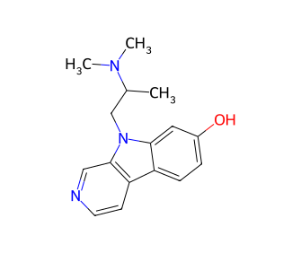 CC(Cn1c2cnccc2c2ccc(O)cc21)N(C)C